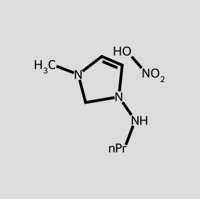 CCCNN1C=CN(C)C1.O=[N+]([O-])O